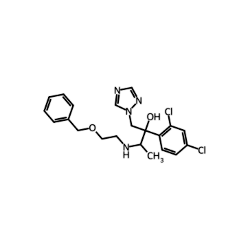 CC(NCCOCc1ccccc1)C(O)(Cn1cncn1)c1ccc(Cl)cc1Cl